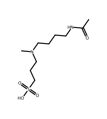 CC(=O)NCCCCN(C)CCCS(=O)(=O)O